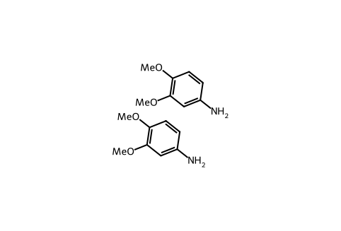 COc1ccc(N)cc1OC.COc1ccc(N)cc1OC